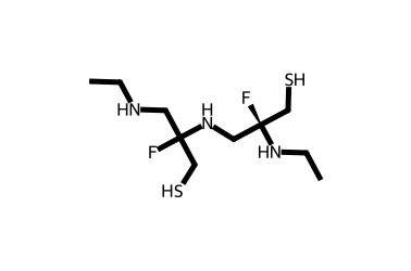 CCNCC(F)(CS)NC[C@](F)(CS)NCC